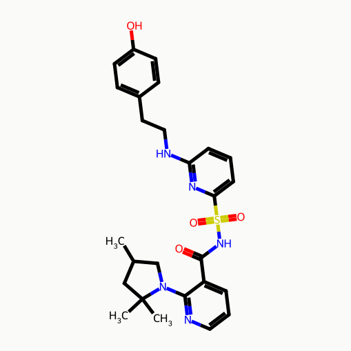 CC1CN(c2ncccc2C(=O)NS(=O)(=O)c2cccc(NCCc3ccc(O)cc3)n2)C(C)(C)C1